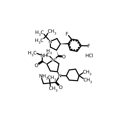 CNC(=O)[C@@H]1C[C@H](N(C(=O)C(C)(C)CN)C2CCC(C)(C)CC2)C[N+]1(C)C(=O)[C@@H]1CN(C(C)(C)C)C[C@H]1c1ccc(F)cc1F.Cl